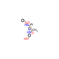 CC(C(=O)Nc1ccc(CO)cc1)c1ncc([C@@H](NC(=O)OCc2ccccc2)C(C)C)s1